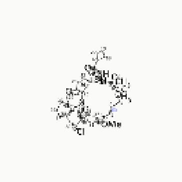 CO[C@H]1/C=C/COC(C)(C)C(=O)N=[S@@](=O)(NC(=O)C2CCC2)c2ccc3c(c2)N(C[C@@H]2CC[C@H]21)C[C@@]1(CCCc2cc(Cl)ccc21)CO3